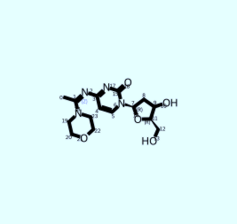 C/C(=N/c1ccn([C@H]2CC(O)[C@@H](CO)O2)c(=O)n1)N1CCOCC1